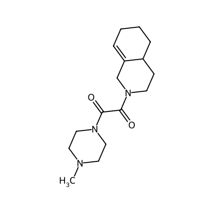 CN1CCN(C(=O)C(=O)N2CCC3CCCC=C3C2)CC1